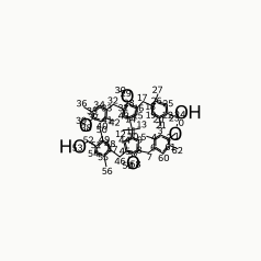 COc1cc(C)c(Cc2cc(C(C)(C)c3cc(Cc4cc(C)c(CO)cc4C)c(OC)c(Cc4cc(C)c(OC)cc4C)c3)cc(Cc3cc(C)c(CO)cc3C)c2OC)cc1C